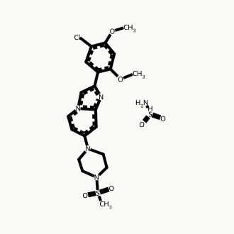 COc1cc(OC)c(-c2cn3ccc(N4CCN(S(C)(=O)=O)CC4)cc3n2)cc1Cl.N[SH](=O)=O